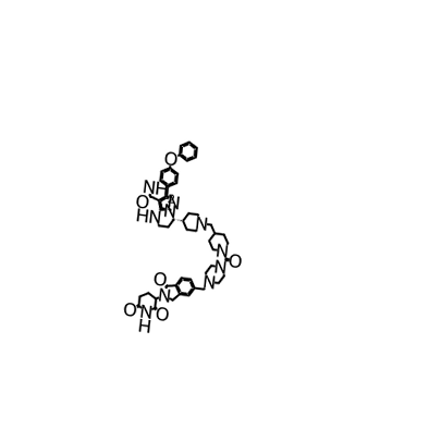 NC(=O)c1c(-c2ccc(Oc3ccccc3)cc2)nn2c1NCC[C@H]2C1CCN(CC2CCN(C(=O)N3CCN(Cc4ccc5c(c4)CN(C4CCC(=O)NC4=O)C5=O)CC3)CC2)CC1